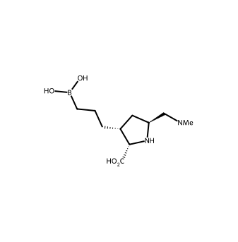 CNC[C@@H]1C[C@@H](CCCB(O)O)[C@@H](C(=O)O)N1